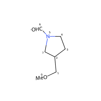 COCC1CCN([C]=O)C1